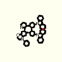 c1ccc(-n2ccoc3cc4c(cc32)c2ccc(-n3c5ccccc5c5ccccc53)cc2c2cc(-n3c5ccccc5c5ccccc53)ccc2c2cccnc24)cc1